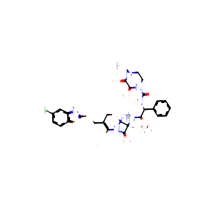 CCN1CCN(C(=O)NC(C(=O)N[C@]2(SC)C(=O)N3C(C(=O)O)=C(CSc4nc5cc(Cl)ccc5s4)CS[C@H]32)c2ccccc2)C(=O)C1=O